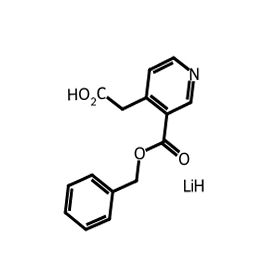 O=C(O)Cc1ccncc1C(=O)OCc1ccccc1.[LiH]